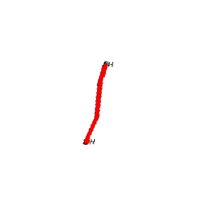 OOS(=S)(=S)SSSSSSSSSSSSSSSSSSSSSSSSSSSSSSSSSSSSSSSSSSSSSSSSSSSSSSSSSSSSSSSSSSSSSSSSSSSSSSSS